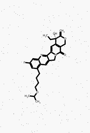 C=C1OCc2c(cc3n(c2=O)Cc2cc4c(CCCCOC(C)C)cc(F)cc4nc2-3)[C@@]1(O)CC